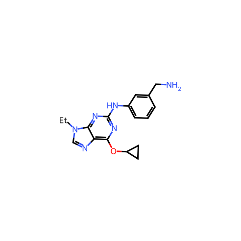 CCn1cnc2c(OC3CC3)nc(Nc3cccc(CN)c3)nc21